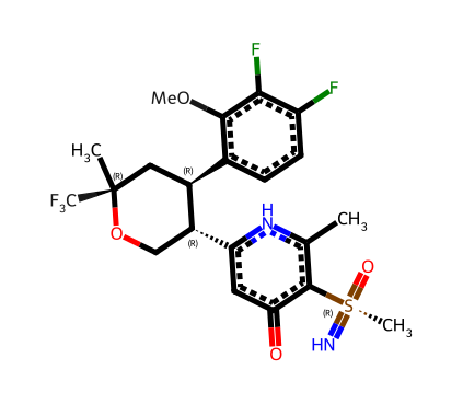 COc1c([C@@H]2C[C@](C)(C(F)(F)F)OC[C@H]2c2cc(=O)c([S@](C)(=N)=O)c(C)[nH]2)ccc(F)c1F